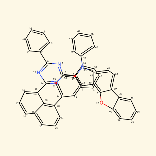 c1ccc(-c2nc(-c3ccccc3)nc(-c3cccc4cccc(-c5ccc6c(c5)c5c7oc8ccccc8c7ccc5n6-c5ccccc5)c34)n2)cc1